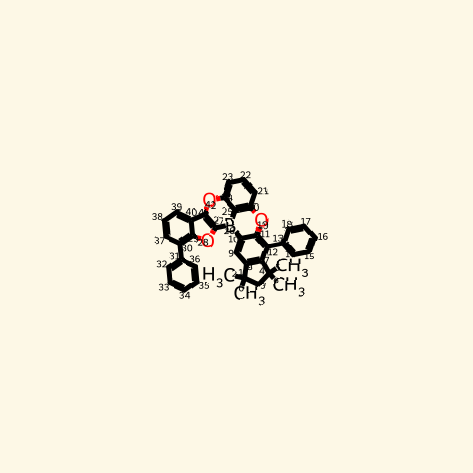 CC1(C)CC(C)(C)c2c1cc1c(c2-c2ccccc2)Oc2cccc3c2B1c1oc2c(-c4ccccc4)cccc2c1O3